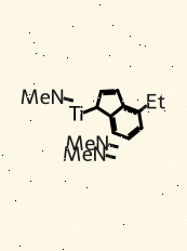 CCc1cccc2c1C=C[CH]2[Ti].CNC.CNC.CNC